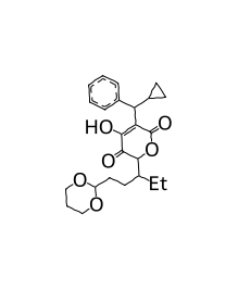 CCC(CCC1OCCCO1)C1OC(=O)C(C(c2ccccc2)C2CC2)=C(O)C1=O